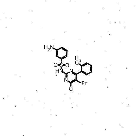 Cc1ccccc1-c1nc(NS(=O)(=O)c2cccc(N)c2)nc(Cl)c1C(C)C